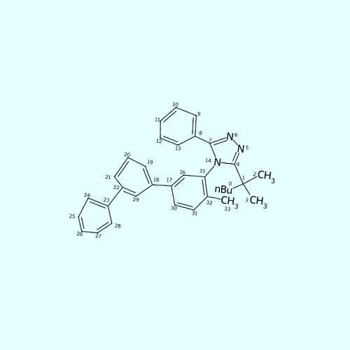 CCCCC(C)(C)c1nnc(-c2ccccc2)n1-c1cc(-c2cccc(-c3ccccc3)c2)ccc1C